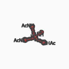 CC(=O)N[C@H]1[C@@H]2OC[C@](COCCOCCOCCOCCn3cc(COCC(COCc4cn(CCOCCOCCOCCOC[C@@]56CO[C@H](O5)[C@H](NC(C)=O)[C@H]5OC(C)(C)O[C@H]56)nn4)(COCc4cn(CCOCCOCCOCCOC[C@@]56CO[C@@H](O5)[C@H](NC(C)=O)[C@H]5OC(C)(C)O[C@H]56)nn4)NC(=O)CCCCCNC(=O)CCCCCC4OC(C)(C)C(C)(C)O4)nn3)(O2)[C@@H]2OC(C)(C)O[C@H]12